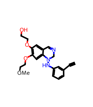 C#Cc1cccc(NN2CN=Cc3cc(OCCO)c(OCCOC)cc32)c1